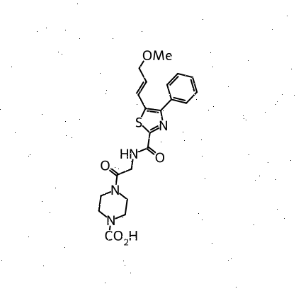 COCC=Cc1sc(C(=O)NCC(=O)N2CCN(C(=O)O)CC2)nc1-c1ccccc1